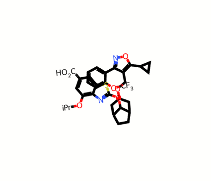 CC(C)Oc1cc(C(=O)O)cc2sc(OC3C4CCC3CC(OCc3c(-c5ccccc5OC(F)(F)F)noc3C3CC3)C4)nc12